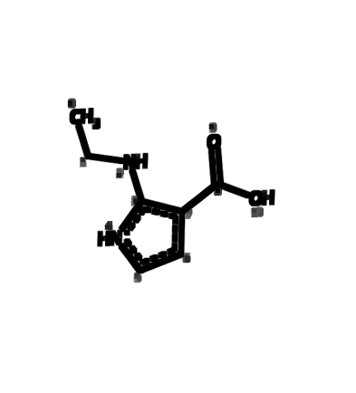 CCNc1[nH]ccc1C(=O)O